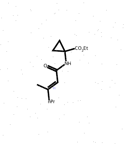 CCC/C(C)=C/C(=O)NC1(C(=O)OCC)CC1